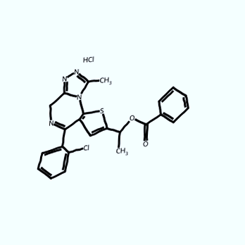 Cc1nnc2n1-c1sc(C(C)OC(=O)c3ccccc3)cc1C(c1ccccc1Cl)=NC2.Cl